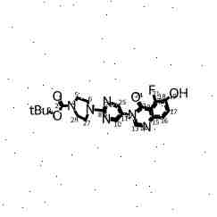 CC(C)(C)OC(=O)N1CCN(c2ncc(-n3cnc4ccc(O)c(F)c4c3=O)cn2)CC1